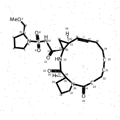 COC[C@@H]1CCCN1S(=O)(=O)NC(=O)[C@@]12C[C@H]1/C=C\CCCCCCC(=O)N1CCC[C@H]1C(=O)N2